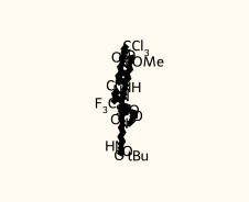 COC(=O)C1Cc2cc(Nc3ncc(C(F)(F)F)c(-c4cc5c(s4)C(=O)N(CCCCNC(=O)OC(C)(C)C)CCS5(=O)=O)n3)c(Cl)cc2CN1C(=O)OCC(Cl)(Cl)Cl